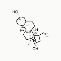 C[C@]12CC[C@H]3[C@@H](CC=C4C[C@@H](O)CC[C@@]43C)[C@@H]1C(C=O)C[C@@H]2O